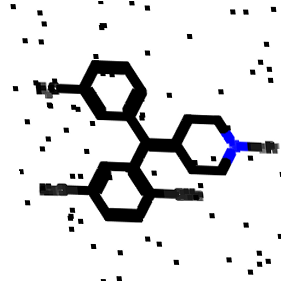 CCCN1CCC(=C(c2cccc(C)c2)c2cc(OC)ccc2OC)CC1